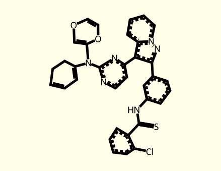 S=C(Nc1cccc(-c2nn3ccccc3c2-c2ccnc(N(C3=CC=CCC3)C3=COC=CO3)n2)c1)c1ccccc1Cl